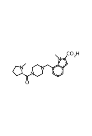 CN1CCC[C@@H]1C(=O)N1CCN(Cc2cccc3cc(C(=O)O)n(C)c23)CC1